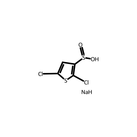 O=S(O)c1cc(Cl)sc1Cl.[NaH]